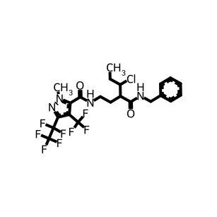 CCC(Cl)C(CCNC(=O)c1c(C(F)(F)F)c(C(F)(F)C(F)(F)F)nn1C)C(=O)NCc1ccccc1